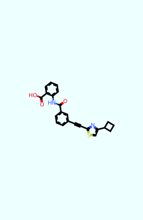 O=C(Nc1ccccc1C(=O)O)c1cccc(C#Cc2nc(C3CCC3)cs2)c1